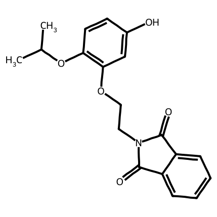 CC(C)Oc1ccc(O)cc1OCCN1C(=O)c2ccccc2C1=O